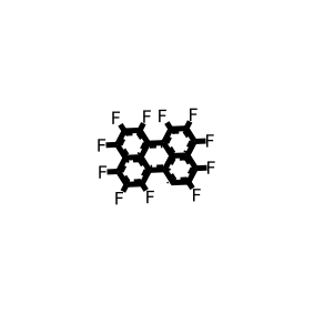 Fc1[c]c2c3c(F)c(F)c(F)c4c(F)c(F)c(F)c(c5c(F)c(F)c(F)c(c1F)c25)c43